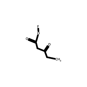 CCC(=O)CC(=O)OF